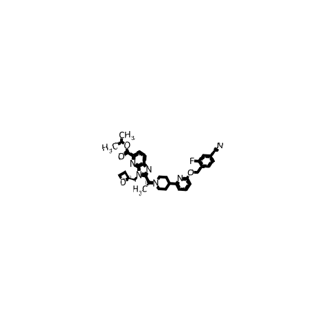 CC(C)OC(=O)c1ccc2nc([C@H](C)N3CCC(c4cccc(OCc5ccc(C#N)cc5F)n4)CC3)n(C[C@@H]3CCO3)c2n1